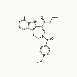 CCOC(=O)C1=CN(C(=O)c2ccc(OC)cc2)CCc2c1[nH]c1c(C)cccc21